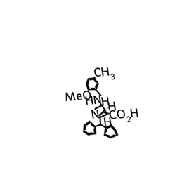 COc1ccc(C)cc1CN[C@@H]1CN2CC[C@H]1[C@@H](C(=O)O)C2C(c1ccccc1)c1ccccc1